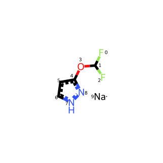 FC(F)Oc1cc[nH]n1.[Na]